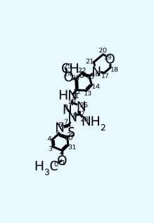 COc1ccc2nc(-n3nc(Nc4ccc(N5CCOCC5)cc4OC)nc3N)sc2c1